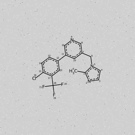 Cc1nccn1Cc1cncc(-c2ccc(Cl)c(C(F)(F)F)c2)c1